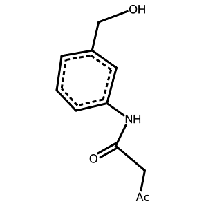 CC(=O)CC(=O)Nc1cccc(CO)c1